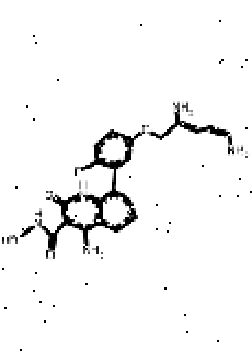 CCCNC(=O)c1c(N)c2cccc(-c3cc(OC/C(N)=C/C=C\N)ccc3F)c2[nH]c1=O